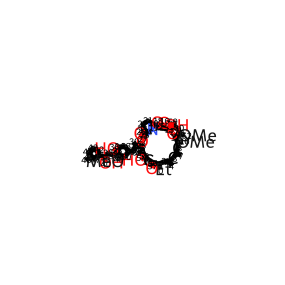 CCC1/C=C(\C)CC(C)CC(OC)C2OC(O)(C(=O)C(=O)N3CCCCC3C(=O)OC(C(C)=CC3CCC(O)(CCC(O)c4cccc(C)c4)C(OC)C3)C(C)C(O)CC1=O)C(C)CC2OC